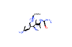 C/N=C(C(=C\N=C\NC)/C=C(\C)N)\C(C)=C(/C)NC(N)=O